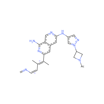 C=N/C=C\C(C)=C(/C)c1cc2cc(Nc3cnn(C4CN(C(C)=O)C4)c3)ncc2c(N)n1